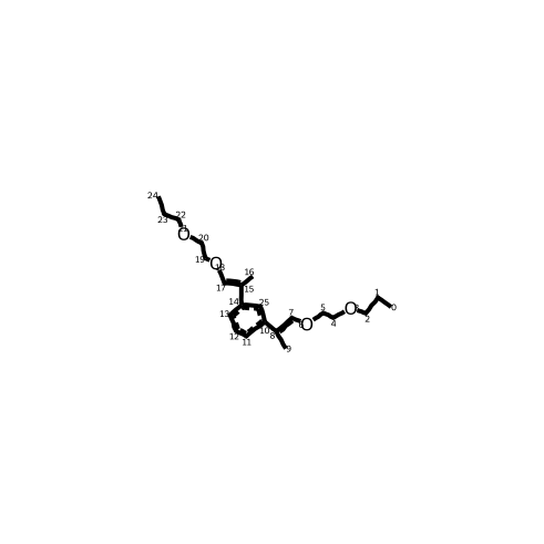 CCCOCCOC=C(C)c1cccc(C(C)=COCCOCCC)c1